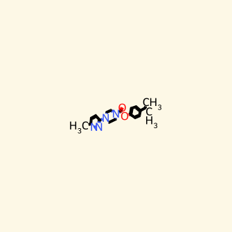 Cc1ccc(N2CCN(C(=O)Oc3ccc(C(C)C)cc3)CC2)nn1